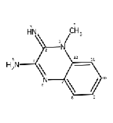 Cn1c(=N)c(N)nc2ccccc21